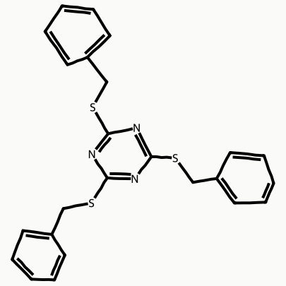 c1ccc(CSc2nc(SCc3ccccc3)nc(SCc3ccccc3)n2)cc1